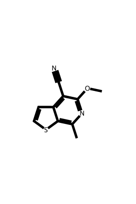 COc1nc(C)c2sccc2c1C#N